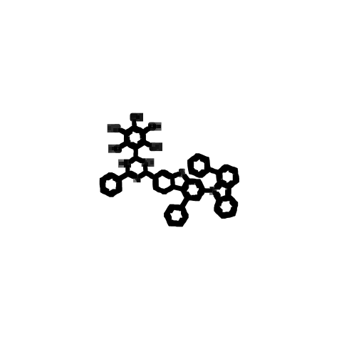 Oc1c(O)c(O)c(C2NC(c3ccccc3)=NC(C3=CCC4C(=C3)Sc3cc(-n5c6ccccc6c6cccc(-c7ccccc7)c65)cc(-c5ccccc5)c34)N2)c(O)c1O